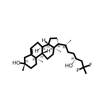 C[C@H](CC[C@@H](O)CC(C)(F)F)[C@H]1CC[C@H]2[C@@H]3CC=C4C[C@@](C)(O)CC[C@]4(C)[C@H]3CC[C@]12C